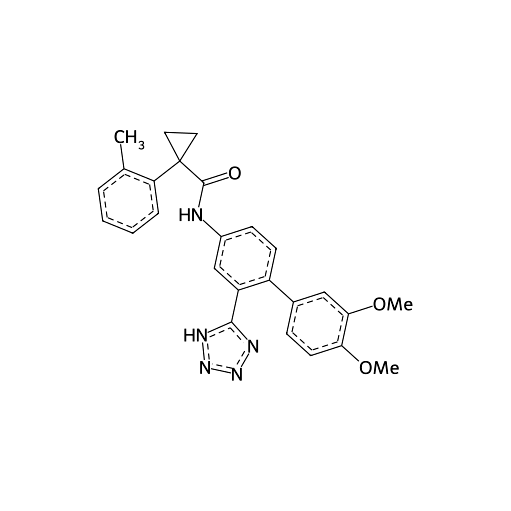 COc1ccc(-c2ccc(NC(=O)C3(c4ccccc4C)CC3)cc2-c2nnn[nH]2)cc1OC